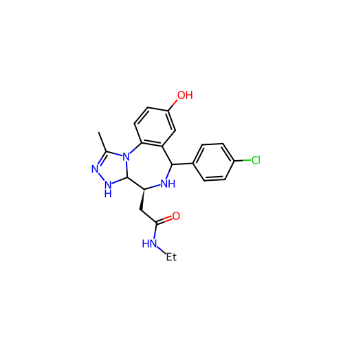 CCNC(=O)C[C@@H]1NC(c2ccc(Cl)cc2)c2cc(O)ccc2N2C(C)=NNC12